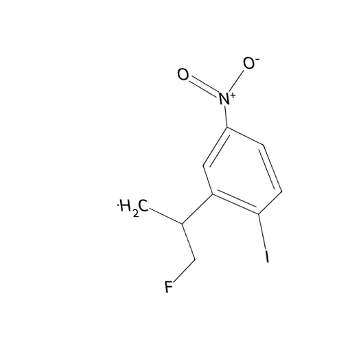 [CH2]C(CF)c1cc([N+](=O)[O-])ccc1I